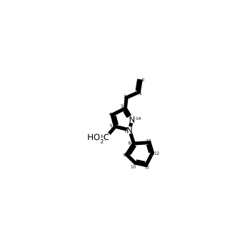 C=CCc1cc(C(=O)O)n(-c2ccccc2)n1